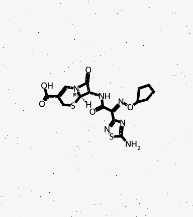 Nc1nc(C(=NOC2CCCC2)C(=O)NC2C(=O)N3C=C(C(=O)O)CS[C@H]23)ns1